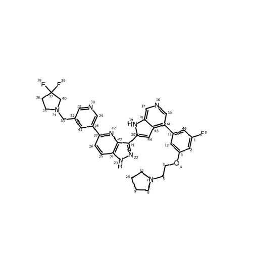 Fc1cc(OCCN2CCCC2)cc(-c2cncc3[nH]c(-c4n[nH]c5ccc(-c6cncc(CN7CCC(F)(F)C7)c6)nc45)cc23)c1